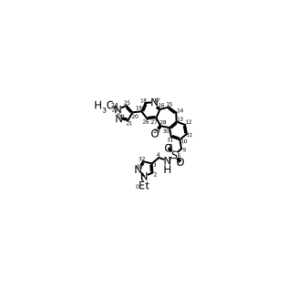 CCn1cc(CNS(=O)(=O)Cc2ccc3ccc4ncc(-c5cnn(C)c5)cc4c(=O)c3c2)cn1